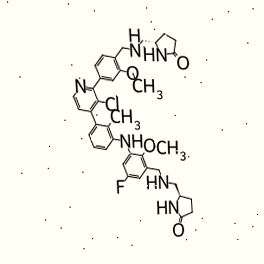 COc1cc(-c2nccc(-c3cccc(Nc4cc(F)cc(CNC[C@H]5CCC(=O)N5)c4OC)c3C)c2Cl)ccc1CNC[C@@H]1CCC(=O)N1